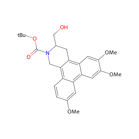 COc1ccc2c3c(c4cc(OC)c(OC)cc4c2c1)CC(CO)N(C(=O)OC(C)(C)C)C3